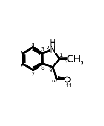 CC1Nc2ccccc2C1C=O